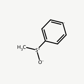 C[S+]([O-])c1cc[c]cc1